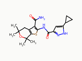 CC1(C)Cc2c(sc(NC(=O)c3cc(C4CC4)[nH]n3)c2C(N)=O)C(C)(C)O1